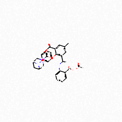 Cc1cc(C(C)Nc2ccccc2C(=O)OC(=O)C(F)(F)F)c2oc(N3CC4CC(C3)N4c3ccccc3)cc(=O)c2c1